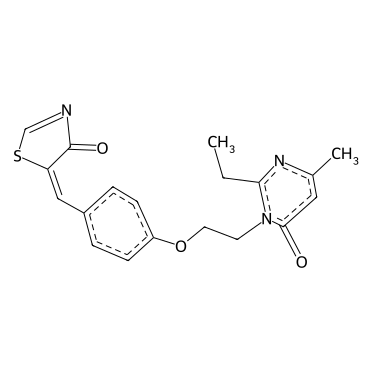 CCc1nc(C)cc(=O)n1CCOc1ccc(C=C2SC=NC2=O)cc1